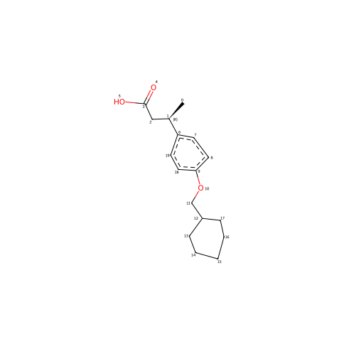 C[C@H](CC(=O)O)c1ccc(OCC2CCCCC2)cc1